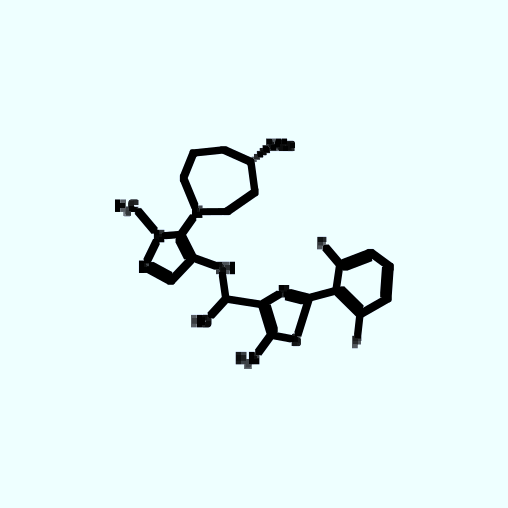 CN[C@H]1CCCN(c2c(NC(O)c3nc(-c4c(F)cccc4F)sc3N)cnn2C)CC1